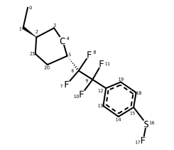 CC[C@H]1CC[C@H](C(F)(F)C(F)(F)c2ccc(SF)cc2)CC1